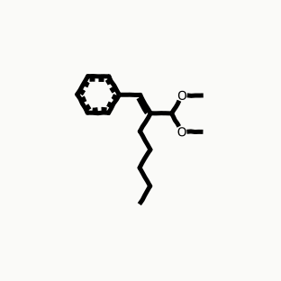 CCCCC/C(=C\c1ccccc1)C(OC)OC